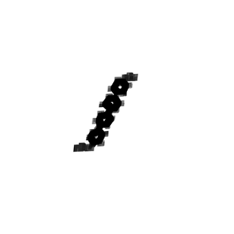 CCCCCCCCCCC1CC=C(c2ccc(-c3ccc([C@H]4CC[C@H](CCCC)CC4)cc3)cc2)CC1